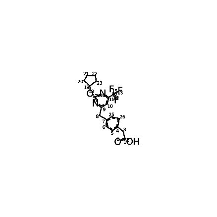 O=C(O)Cc1ccc(Cc2cc(C(F)(F)F)nc(OC3CCCC3)n2)cc1